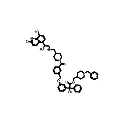 O=C(c1cccc(COc2cccc(C(O)(C(=O)OCC3CCN(Cc4ccccc4)CC3)c3ccccc3)c2)c1)N1CCC(CNCC(O)c2ccc(O)c3[nH]c(=O)ccc23)CC1